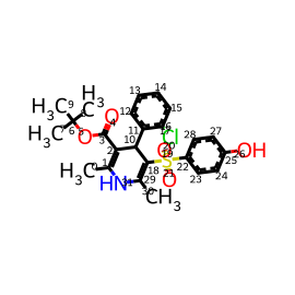 CC1=C(C(=O)OC(C)(C)C)C(c2ccccc2Cl)C(S(=O)(=O)c2ccc(O)cc2)=C(C)N1